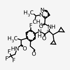 CC(C(=O)NCC(F)(F)F)c1cc(F)c(NC(=O)[C@@H](NC(=O)c2ccnn2C(C)C)C(C2CC2)C2CC2)cc1CC=O